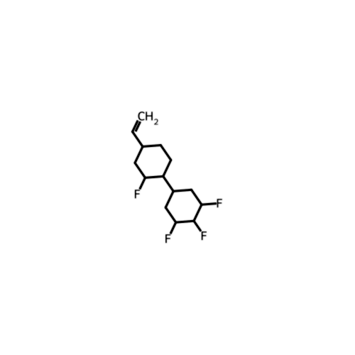 C=CC1CCC(C2CC(F)C(F)C(F)C2)C(F)C1